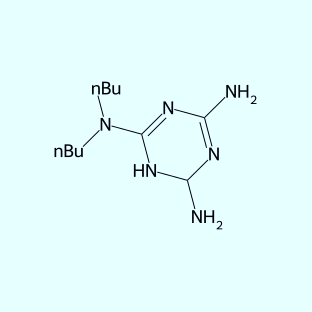 CCCCN(CCCC)C1=NC(N)=NC(N)N1